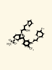 CS(=O)(=O)N1CCc2c(c(-c3ccc(C(F)(F)F)c(SCCN4CCC(F)CC4)c3)nn2CC(O)CN2CCCC2)C1